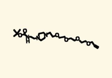 C#CCOCCOCCOCCOCCN1CCN(CCNC(=O)OC(C)(C)C)CC1